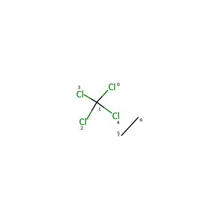 ClC(Cl)(Cl)Cl.[CH2]C